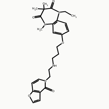 CCN1C(=O)C(C)(C)C(=O)N(C)c2cc(OCCCNCCn3ccc4occc4c3=O)ccc21